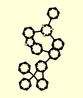 c1ccc(-c2nc(-c3ccccc3)nc(-c3cccc4oc5ccc(-c6ccccc6-c6ccc7c(c6)-c6ccccc6C7(c6ccccc6)c6ccccc6)cc5c34)n2)cc1